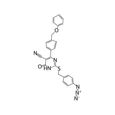 N#Cc1c(-c2ccc(COc3ccccc3)cc2)nc(SCc2ccc(N=[N+]=[N-])cc2)[nH]c1=O